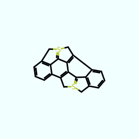 c1cc2c3c4c5c(c6cccc7c6c6c5c(c3c1)CS=6C7)CS=4C2